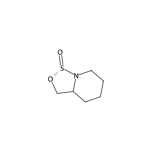 O=[S@]1OCC2CCCCN21